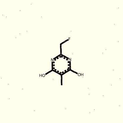 Cc1c(O)nc(CF)nc1O